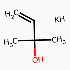 C=CC(C)(C)O.[KH]